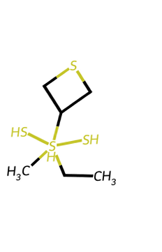 CC[SH](C)(S)(S)C1CSC1